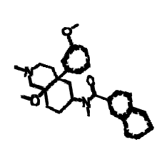 COc1cccc(C23CCN(C)CC2(OC)CCC(N(C)C(=O)c2ccc4ccccc4c2)C3)c1